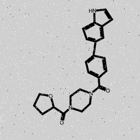 O=C(c1ccc(-c2ccc3[nH]ccc3c2)cc1)N1CCN(C(=O)C2CCCO2)CC1